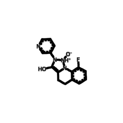 [O-][NH+]1N(c2cccnc2)C(O)=C2CCc3cccc(F)c3N21